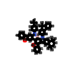 CC(C)(C)c1ccc(N2B3c4cc5c(cc4-n4c6cc7c(cc6c6c8c(oc9ccccc98)c(c3c64)-c3cc4oc6ccccc6c4cc32)C(C)(C)CCC7(C)C)-c2ccccc2C5(C)C)cc1